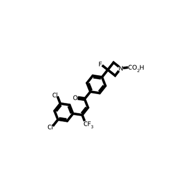 O=C(/C=C(\c1cc(Cl)cc(Cl)c1)C(F)(F)F)c1ccc(C2(F)CN(C(=O)O)C2)cc1